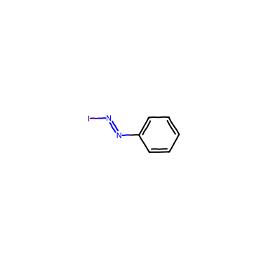 IN=Nc1ccccc1